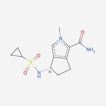 Cn1cc2c(c1C(N)=O)CC[C@@H]2NS(=O)(=O)C1CC1